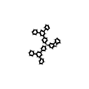 c1ccc(-c2cc(-c3ccccc3)cc(-c3ccc(N(c4ccc(-c5cc(-c6ccccc6)cc(-c6ccccc6)c5)cc4)c4ccc5sc6ccccc6c5c4)cc3)c2)cc1